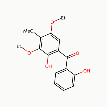 CCOc1cc(C(=O)c2ccccc2O)c(O)c(OCC)c1OC